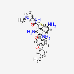 Cc1cccc(Oc2ccc(C3(N)C(=O)C(N)C4c5c3ccc(N)c5SC4C(=O)NC3CCCN(C)C3)c(C)c2)c1